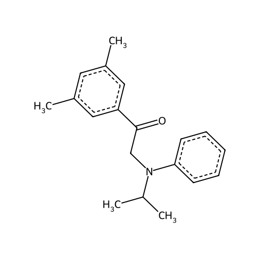 Cc1cc(C)cc(C(=O)CN(c2ccccc2)C(C)C)c1